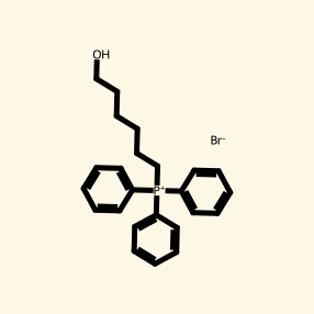 OCCCCCC[P+](c1ccccc1)(c1ccccc1)c1ccccc1.[Br-]